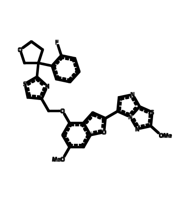 COc1cc(OCc2csc(C3(c4ccccc4F)CCOC3)n2)c2cc(-c3cnc4sc(OC)nn34)oc2c1